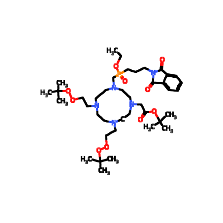 CCOP(=O)(CCCN1C(=O)c2ccccc2C1=O)CN1CCN(CCOOC(C)(C)C)CCN(CCOOC(C)(C)C)CCN(CC(=O)OC(C)(C)C)CC1